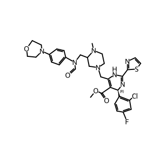 COC(=O)C1=C(CN2CCN(C)C(CN(C=O)c3ccc(N4CCOCC4)cc3)C2)NC(c2nccs2)=N[C@H]1c1ccc(F)cc1Cl